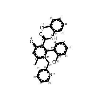 Cc1cc(=O)c(C(=O)Nc2ccccc2Cl)c(-c2ccccc2Cl)n1Cc1ccccn1